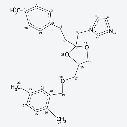 Cc1ccc(CCC2(Cn3ccnc3)OCC(COCc3cc(C)ccc3C)O2)cc1